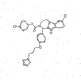 O=C(Oc1ccc(Cl)cc1)N1CCc2c([nH]c3ccc(Cl)cc23)C1c1ccc(OCCCn2ccnc2)cc1